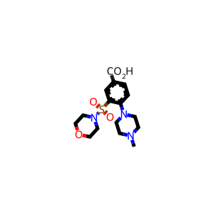 CN1CCN(c2ccc(C(=O)O)cc2S(=O)(=O)N2CCOCC2)CC1